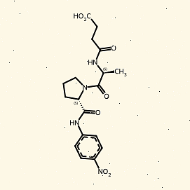 C[C@H](NC(=O)CCC(=O)O)C(=O)N1CCC[C@H]1C(=O)Nc1ccc([N+](=O)[O-])cc1